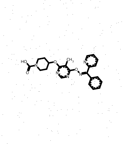 Cc1c(ON=C(c2ccccc2)c2ccccn2)ncnc1OC1CCN(C(=O)O)CC1